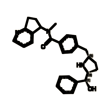 CN(C(=O)c1ccc(C[C@@H]2CC[C@H]([C@H](O)c3ccccc3)N2)cc1)C1CCc2ncccc21